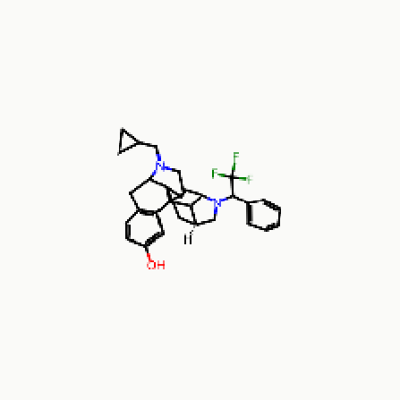 Oc1ccc2c(c1)C13CCN(CC4CC4)C(C2)C12CCC1C3[C@@H](CN1C(c1ccccc1)C(F)(F)F)C2